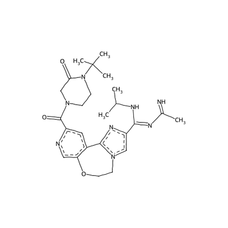 CC(=N)/N=C(\NC(C)C)c1cn2c(n1)-c1cc(C(=O)N3CCN(C(C)(C)C)C(=O)C3)ncc1OCC2